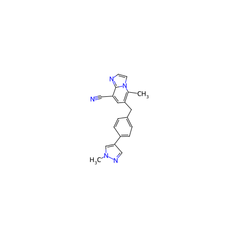 Cc1c(Cc2ccc(-c3cnn(C)c3)cc2)cc(C#N)c2nccn12